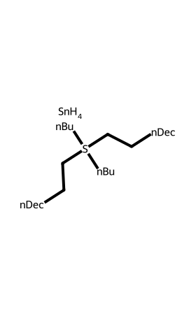 CCCCCCCCCCCCS(CCCC)(CCCC)CCCCCCCCCCCC.[SnH4]